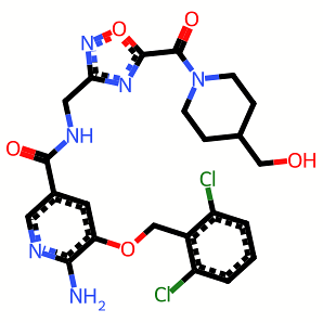 Nc1ncc(C(=O)NCc2noc(C(=O)N3CCC(CO)CC3)n2)cc1OCc1c(Cl)cccc1Cl